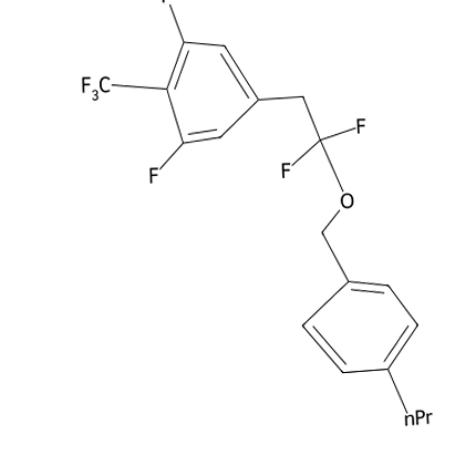 CCCc1ccc(COC(F)(F)Cc2cc(F)c(C(F)(F)F)c(F)c2)cc1